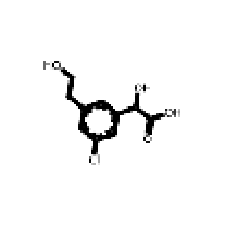 O=C(O)C(O)c1cc(Cl)cc(CCO)c1